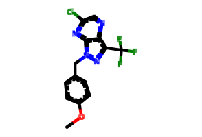 COc1ccc(Cn2nc(C(F)(F)F)c3ncc(Cl)nc32)cc1